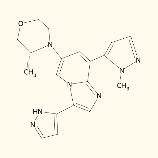 C[C@@H]1COCCN1c1cc(-c2ccnn2C)c2ncc(-c3ccn[nH]3)n2c1